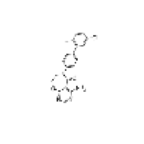 Cc1ccc(Cl)cc1-c1ccc(N2CCOc3ncnc(N)c3C2=O)cc1